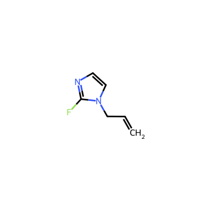 C=CCn1ccnc1F